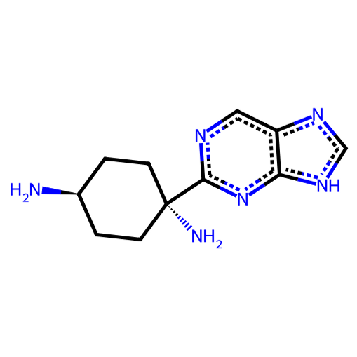 N[C@H]1CC[C@@](N)(c2ncc3nc[nH]c3n2)CC1